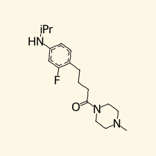 CC(C)Nc1ccc(CCCC(=O)N2CCN(C)CC2)c(F)c1